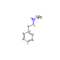 CC(C)N=CCc1ccccc1